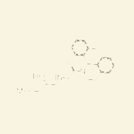 COC[C@@H](O)CNCC(=O)N1CCc2ccc(F)cc2C1c1ccccc1Cl